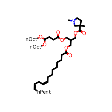 CCCCC/C=C\C/C=C\CCCCCCCC(=O)OCC(COC(=O)CCC(OCCCCCCCC)OCCCCCCCC)COC(=O)C1(C)CCN(C)C1